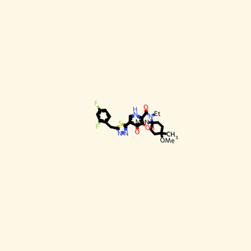 CCN(C(=O)c1[nH]cc(-c2nnc(Cc3ccc(F)cc3F)s2)c(=O)c1O)C1(NC)CCC(C)(OC)CC1